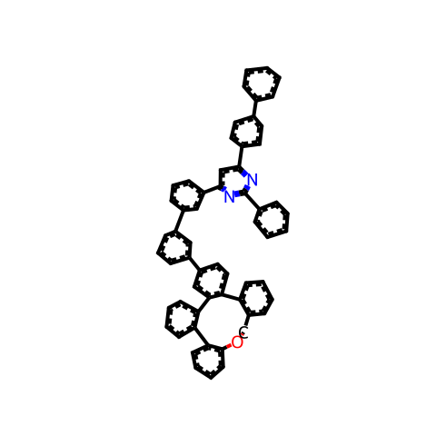 c1ccc(-c2ccc(-c3cc(-c4cccc(-c5cccc(-c6ccc7c(c6)-c6ccccc6-c6ccccc6OCc6ccccc6-7)c5)c4)nc(-c4ccccc4)n3)cc2)cc1